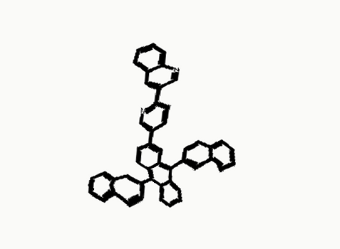 c1ccc2cc(-c3c4ccccc4c(-c4ccc5ccccc5c4)c4cc(-c5ccc(-c6cnc7ccccc7c6)nc5)ccc34)ccc2c1